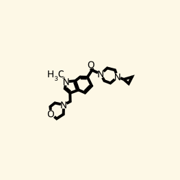 Cn1cc(CN2CCOCC2)c2ccc(C(=O)N3CCN(C4CC4)CC3)cc21